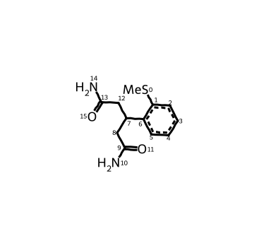 CSc1ccccc1C(CC(N)=O)CC(N)=O